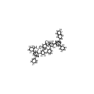 Cc1cc(C)nc(-c2c(-c3ccc(-c4nc(-c5ccccc5)nc(-c5ccccc5)n4)cc3)cccc2-c2cccc(-c3nc(-c4ccccc4)nc(-c4ccc5ccccc5c4)n3)c2)n1